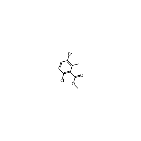 COC(=O)c1c(Cl)ncc(Br)c1C